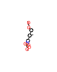 COCCOc1cccc(-c2ccc(C3=CCN(S(=O)(=O)CC(=O)OC)CC3)cc2C)c1